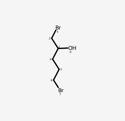 OC(CBr)CCCBr